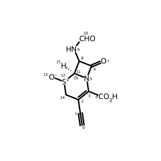 C#CC1=C(C(=O)O)N2C(=O)C(NC=O)[C@@H]2[S+]([O-])C1